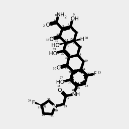 NC(=O)C1=C(O)C[C@@H]2CC3Cc4c(F)cc(NC(=O)CN5CC[C@@H](F)C5)c(O)c4C(=O)C3=C(O)[C@]2(O)C1=O